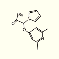 Cc1cc(OC(C(=O)C(C)(C)C)n2cccc2)cc(C)n1